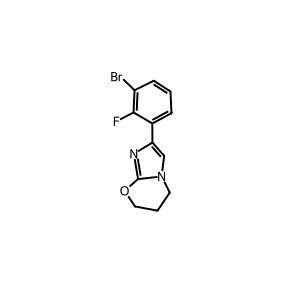 Fc1c(Br)cccc1-c1cn2c(n1)OCCC2